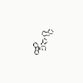 C1=Cc2c(c3ccccc3n2-c2cccc3c2Cc2cc(-c4cccc5c4Cc4ccccc4-5)ccc2-3)CC1